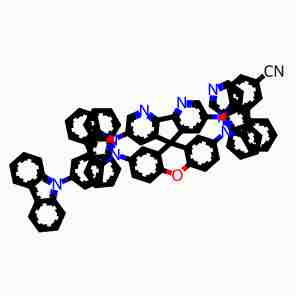 N#Cc1ccc2c(c1)c1ccccc1n2-c1cnc2c(c1)C1(c3cc(-n4c5ccccc5c5cc(-n6c7ccccc7c7ccccc76)ccc54)ccc3Oc3ccc(-n4c5ccccc5c5ccncc54)cc31)c1cc(-n3c4ccccc4c4ccccc43)cnc1-2